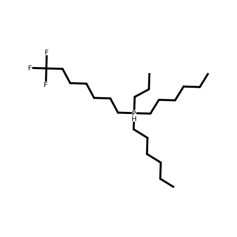 CCCCCC[PH](CCC)(CCCCCC)CCCCCCC(F)(F)F